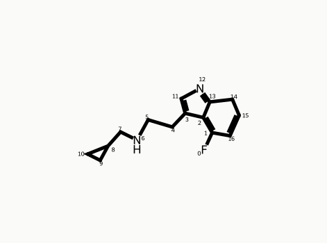 FC1=C2C(CCNCC3CC3)=CN=C2CC=C1